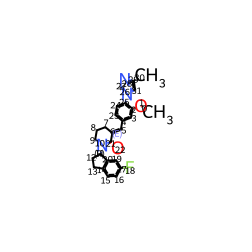 COc1cc(/C=C2\CCCN([C@@H]3CCc4ccc(F)cc43)C2=O)ccc1-n1cnc(C)c1